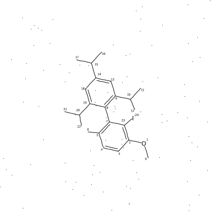 COc1ccc(C)c(-c2c(C(C)C)cc(C(C)C)cc2C(C)C)c1I